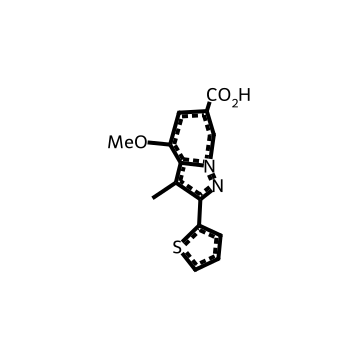 COc1cc(C(=O)O)cn2nc(-c3cccs3)c(C)c12